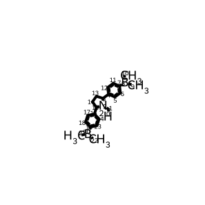 [2H]CN1C(c2ccc(B(C)C)cc2)CCC1c1ccc(B(C)C)cc1